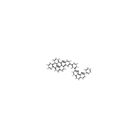 c1ccc(-c2ccc3ccc4ccc(-c5cccc(-c6ccc7nc(-c8ccccc8)c8c(ccc9ccc(-c%10ccccc%10)nc98)c7c6)c5)nc4c3n2)cc1